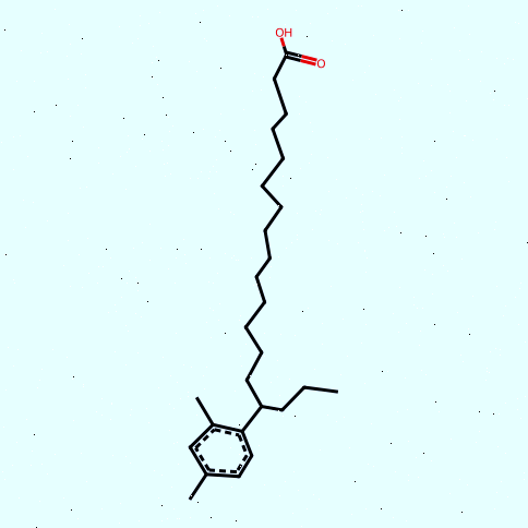 CCCC(CCCCCCCCCCCCCC(=O)O)c1ccc(C)cc1C